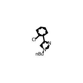 CCCCn1cnc(-c2ccccc2Cl)c1